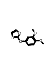 COc1ccc(Oc2nc[c]o2)cc1OC